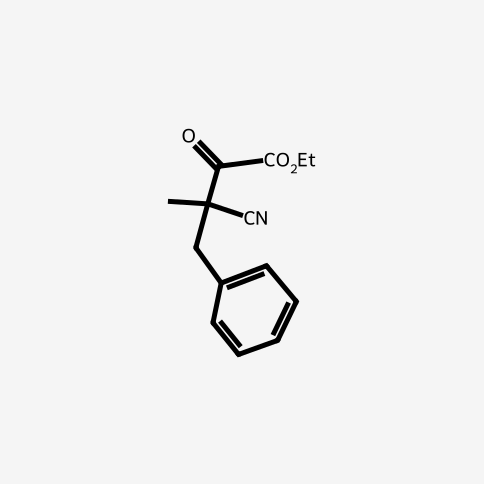 CCOC(=O)C(=O)C(C)(C#N)Cc1ccccc1